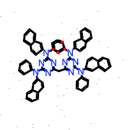 c1ccc(N(c2ccc3ccccc3c2)c2nc(Cc3nc(N(c4ccccc4)c4ccc5ccccc5c4)nc(N(c4ccccc4)c4ccc5ccccc5c4)n3)nc(N(c3ccccc3)c3ccc4ccccc4c3)n2)cc1